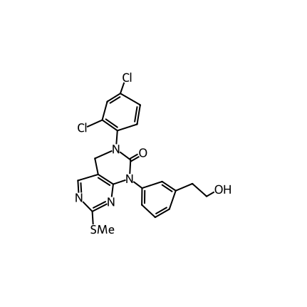 CSc1ncc2c(n1)N(c1cccc(CCO)c1)C(=O)N(c1ccc(Cl)cc1Cl)C2